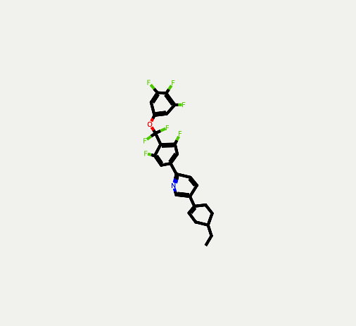 CCC1CC=C(c2ccc(-c3cc(F)c(C(F)(F)Oc4cc(F)c(F)c(F)c4)c(F)c3)nc2)CC1